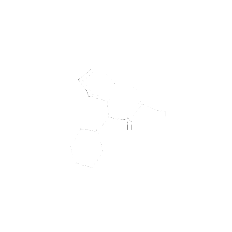 ClC1=Nc2ccccc2C(N2CCOCC2)N1